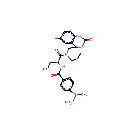 CN(C(=O)O)c1ccc(C(=O)N[C@@H](CC(F)(F)F)C(=O)N2CCC[C@@]3(C2)OC(=O)Nc2ccc(Cl)cc23)cc1